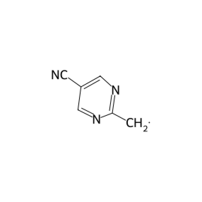 [CH2]c1ncc(C#N)cn1